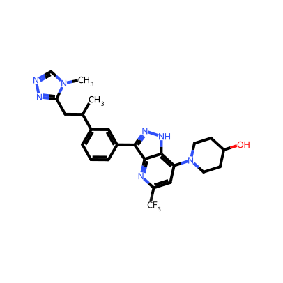 CC(Cc1nncn1C)c1cccc(-c2n[nH]c3c(N4CCC(O)CC4)cc(C(F)(F)F)nc23)c1